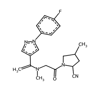 C=C(c1cnn(-c2ccc(F)cc2)c1)N(C)CC(=O)N1CC(C)CC1C#N